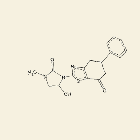 CN1CC(O)N(c2nc3c(s2)C(=O)CC(c2ccccc2)C3)C1=O